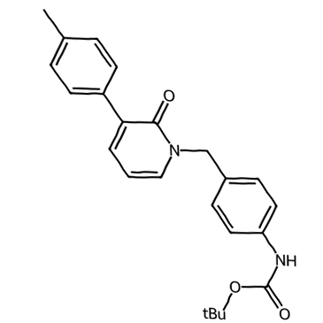 Cc1ccc(-c2cccn(Cc3ccc(NC(=O)OC(C)(C)C)cc3)c2=O)cc1